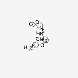 COC1CN(C)CC1Oc1cccc(NSN2CCOC3(COC3)C2)c1